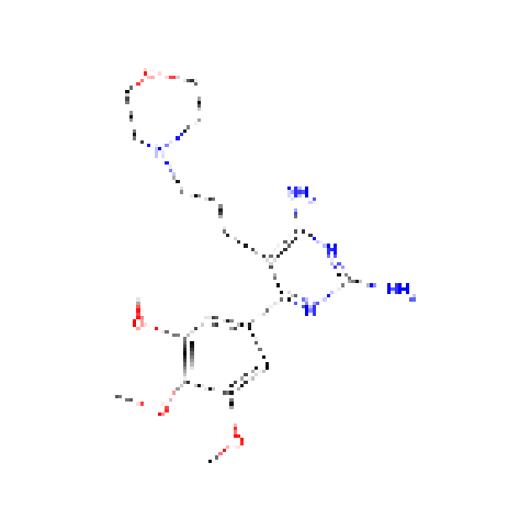 COc1cc(-c2nc(N)nc(N)c2CCCN2CCOCC2)cc(OC)c1OC